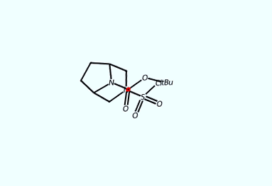 CC(C)(C)OC(=O)N1C2CCC1CN(S(=O)(=O)Cl)C2